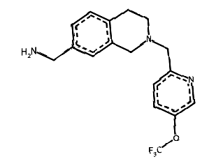 NCc1ccc2c(c1)CN(Cc1ccc(OC(F)(F)F)cn1)CC2